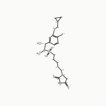 C[C@H](c1ccc(F)c(OCC2CC2)c1)N(C)S(=O)(=O)CCCCCN1CC(=O)NC1=O